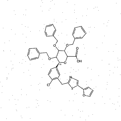 O=C(O)C1O[C@@H](c2ccc(Cl)c(Cc3ncc(-c4ccco4)s3)c2)C(OCc2ccccc2)C(OCc2ccccc2)C1OCc1ccccc1